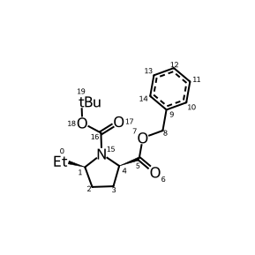 CC[C@@H]1CC[C@H](C(=O)OCc2ccccc2)N1C(=O)OC(C)(C)C